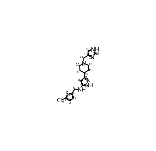 Clc1ccc(CNc2cc(C3CCN(Cc4c[nH]cn4)CC3)n[nH]2)s1